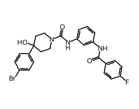 O=C(Nc1cccc(NC(=O)N2CCC(O)(c3ccc(Br)cc3)CC2)c1)c1ccc(F)cc1